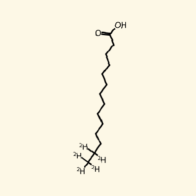 [2H]C([2H])([2H])C([2H])([2H])CCCCCCCCCCCC(=O)O